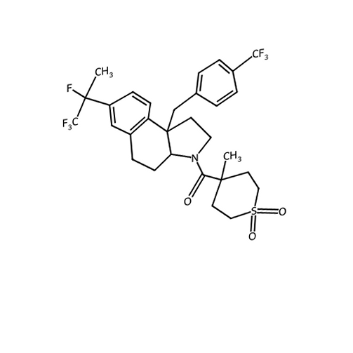 CC1(C(=O)N2CCC3(Cc4ccc(C(F)(F)F)cc4)c4ccc(C(C)(F)C(F)(F)F)cc4CCC23)CCS(=O)(=O)CC1